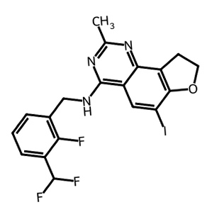 Cc1nc(NCc2cccc(C(F)F)c2F)c2cc(I)c3c(c2n1)CCO3